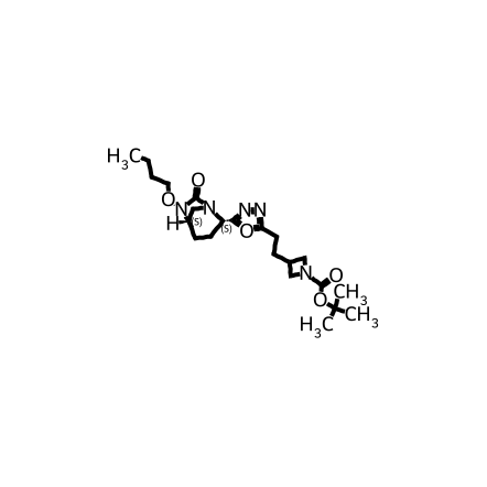 CCCCON1C(=O)N2C[C@@H]1CC[C@H]2c1nnc(CCC2CN(C(=O)OC(C)(C)C)C2)o1